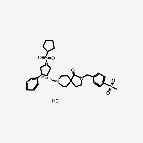 CS(=O)(=O)c1ccc(CN2CCC3(CCN(C[C@H]4CN(S(=O)(=O)C5CCCC5)C[C@@H]4c4ccccc4)CC3)C2=O)cc1.Cl